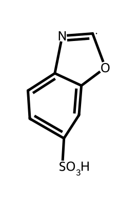 O=S(=O)(O)c1ccc2n[c]oc2c1